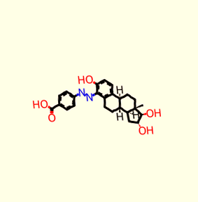 C[C@]12CC[C@@H]3c4ccc(O)c(/N=N/c5ccc(C(=O)O)cc5)c4CC[C@H]3[C@@H]1C[C@@H](O)[C@@H]2O